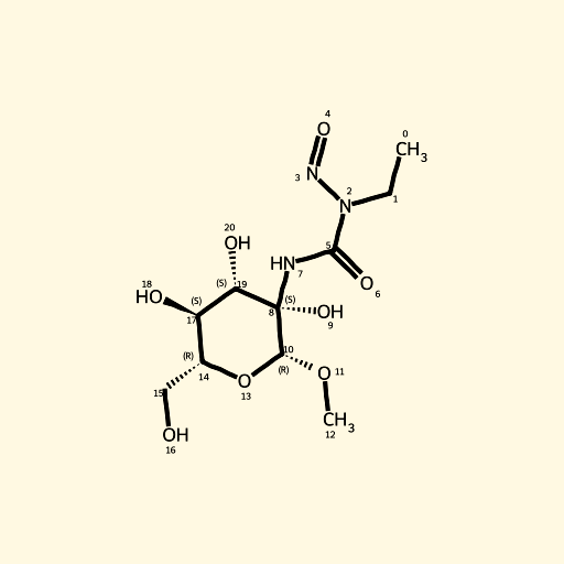 CCN(N=O)C(=O)N[C@@]1(O)[C@H](OC)O[C@H](CO)[C@@H](O)[C@@H]1O